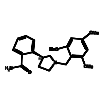 COc1cc(OC)c(CN2CC[C@@H](c3ccccc3C(N)=O)C2)c(OC)c1